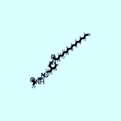 CCCCCCCCCCCCCCCC(=O)N1CCC(CCO/N=C/CNC(C)=O)CC1